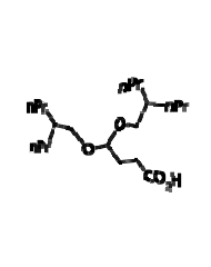 CCCC(CCC)COC(CCC(=O)O)OCC(CCC)CCC